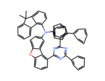 CC1(C)c2ccccc2-c2c(N(c3ccc(-c4ccccc4)cc3)c3ccc4oc5cccc(-c6nc(-c7ccccc7)nc(-c7ccccc7)n6)c5c4c3)cccc21